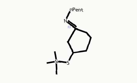 CCCCC/N=C1\CCCC(S[Si](C)(C)C)C1